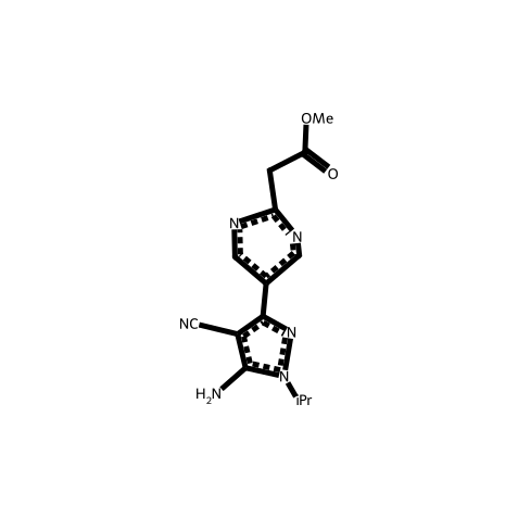 COC(=O)Cc1ncc(-c2nn(C(C)C)c(N)c2C#N)cn1